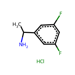 CC(N)c1cc(F)cc(F)c1.Cl